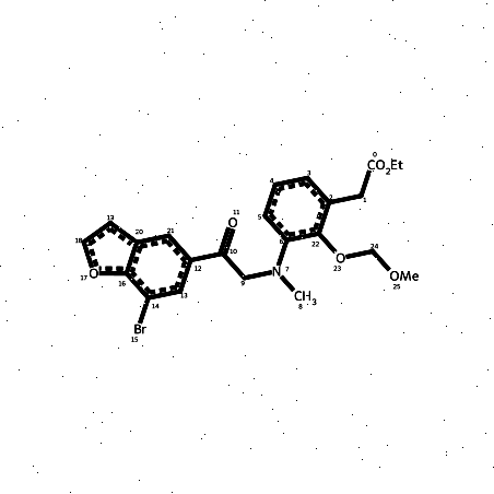 CCOC(=O)Cc1cccc(N(C)CC(=O)c2cc(Br)c3occc3c2)c1OCOC